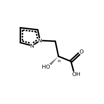 O=C(O)[C@H](O)Cn1cccn1